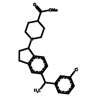 COC(=O)C1CCN(C2CCc3cc(C(C)c4cccc(Cl)c4)ccc32)CC1